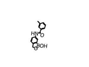 Cc1cccc(C(=O)Nc2ccc3c(c2)B(O)OC3)c1